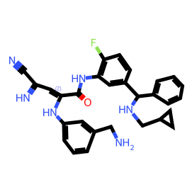 N#CC(=N)/C=C(\Nc1cccc(CN)c1)C(=O)Nc1cc(C(NCC2CC2)c2ccccc2)ccc1F